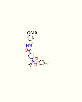 COc1ccc(CNCC(=O)N2CCC(N(C3CC3)S(=O)(=O)c3ccc(Cl)cc3)CC2)cc1